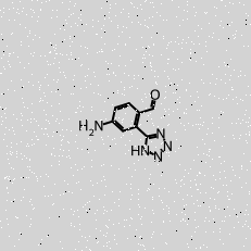 Nc1ccc(C=O)c(-c2nnn[nH]2)c1